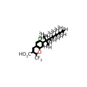 [2H]C([2H])([2H])C([2H])([2H])C([2H])([2H])C([2H])([2H])C([2H])([2H])C(c1cc2c(cc1Cl)C=C(C(=O)O)C(C(F)(F)F)O2)(C([2H])([2H])[2H])C([2H])([2H])[2H]